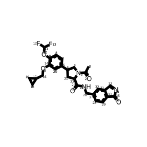 CC(=O)N1CC(c2ccc(OC(F)F)c(OCC3CC3)c2)CC1C(=O)NCc1ccc2c(c1)C=NC2=O